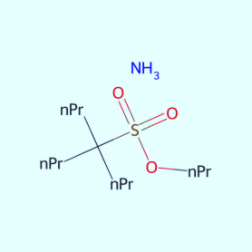 CCCOS(=O)(=O)C(CCC)(CCC)CCC.N